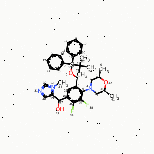 C[C@@H]1CN(c2c(CO[Si](c3ccccc3)(c3ccccc3)C(C)(C)C)cc(C(O)c3cncn3C)c(F)c2F)C[C@H](C)O1